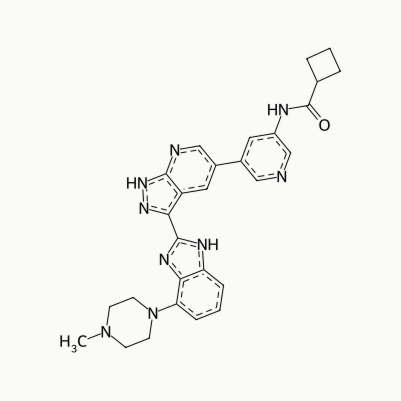 CN1CCN(c2cccc3[nH]c(-c4n[nH]c5ncc(-c6cncc(NC(=O)C7CCC7)c6)cc45)nc23)CC1